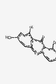 O=c1c2c(O)cc(O)cc2oc2cc(O)cc(O)c12